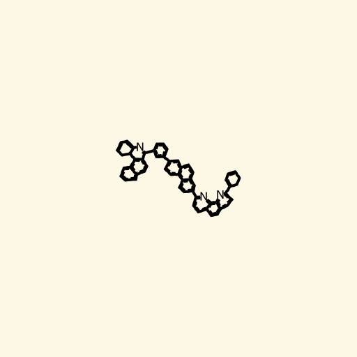 C1=CCCC(c2ccc3ccc4ccc(-c5ccc6c(ccc7cc(-c8cccc(C9=NC%10=CC=CCC%10c%10c9ccc9ccccc%109)c8)ccc76)c5)nc4c3n2)=C1